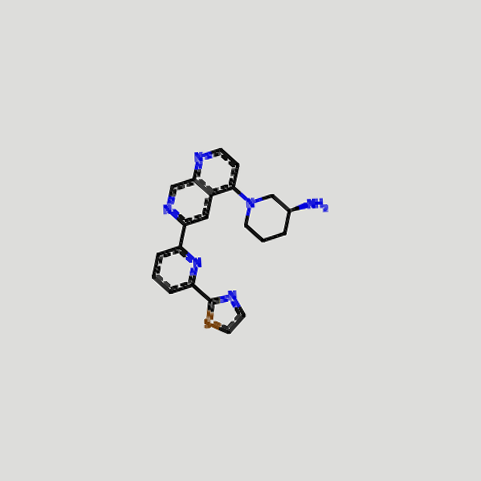 N[C@H]1CCCN(c2ccnc3cnc(-c4cccc(-c5nccs5)n4)cc23)C1